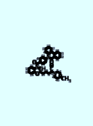 CN1CCN(C(=C=O)CCCCOc2ccccc2N(C)C(=O)c2ccc(NC(=O)c3ccccc3-c3ccccc3)cc2)CC1